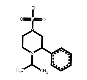 CC(C)N1CCN(S(C)(=O)=O)CC1c1ccccc1